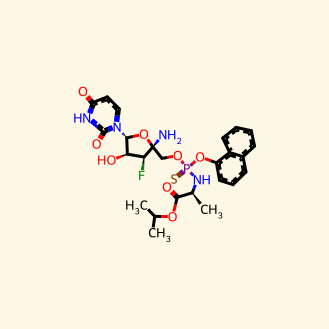 CC(C)OC(=O)[C@H](C)NP(=S)(OC[C@@]1(N)O[C@@H](n2ccc(=O)[nH]c2=O)[C@H](O)[C@@H]1F)Oc1cccc2ccccc12